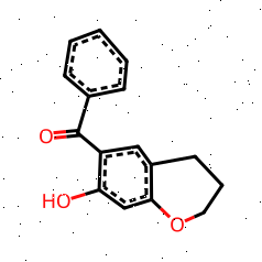 O=C(c1ccccc1)c1cc2c(cc1O)OCCC2